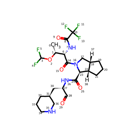 C[C@@H](OC(F)F)[C@H](NC(=O)C(F)(F)F)C(=O)N1C[C@@H]2CCC[C@@H]2[C@H]1C(=O)N[C@H](C=O)C[C@@H]1CCCNC1